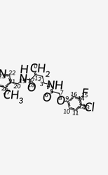 C=C(CCNC(=O)COc1ccc(Cl)c(F)c1)C(=O)NCc1cnccc1C